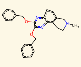 CN1CCc2c(ccc3nc(OCc4ccccc4)c(OCc4ccccc4)nc23)C1